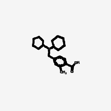 Cc1cc(CN(C2CCCCC2)C2CCCCC2)ccc1C(=O)O